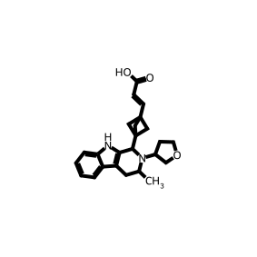 CC1Cc2c([nH]c3ccccc23)C(C23CC(/C=C/C(=O)O)(C2)C3)N1C1CCOC1